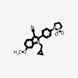 COc1ccc2c(C#N)c(-c3ccc(N4CCCS4(=O)=O)cc3)n(CC3CC3)c2c1